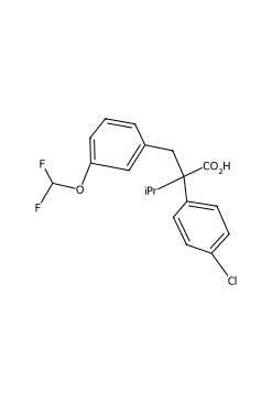 CC(C)C(Cc1cccc(OC(F)F)c1)(C(=O)O)c1ccc(Cl)cc1